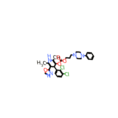 CC1=C(OC(=O)OCCCN2CCN(c3ccccc3)CC2)C(c2cccc(Cl)c2Cl)C(c2nnco2)=C(C)N1